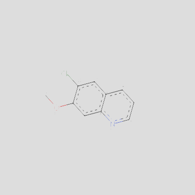 COc1cc2ncccc2cc1Cl